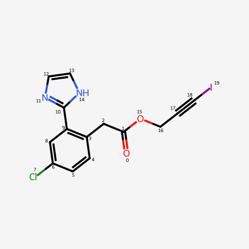 O=C(Cc1ccc(Cl)cc1-c1ncc[nH]1)OCC#CI